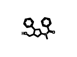 CN(C(=O)c1ccccc1)C1CC(CO)C(c2ccccc2)C1